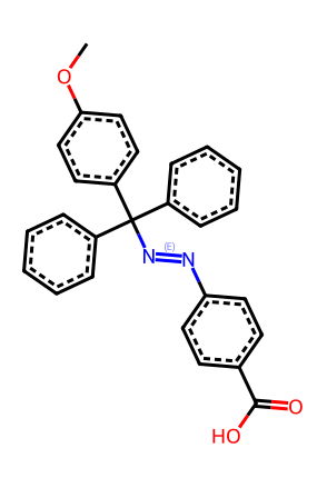 COc1ccc(C(/N=N/c2ccc(C(=O)O)cc2)(c2ccccc2)c2ccccc2)cc1